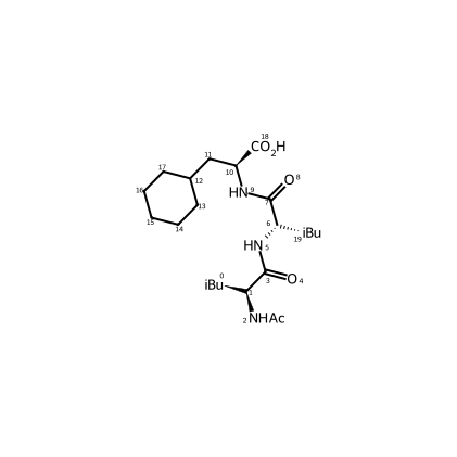 CC[C@H](C)[C@H](NC(C)=O)C(=O)N[C@H](C(=O)N[C@@H](CC1CCCCC1)C(=O)O)[C@@H](C)CC